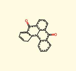 O=c1c2c(c3c4ccccc4c(=O)c4cccc1c4-3)CC=CC=2